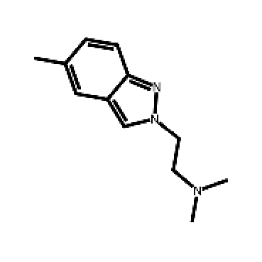 Cc1ccc2nn(CCN(C)C)cc2c1